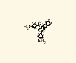 Cc1ccc(C(=O)O[C@@H]2C3CC(c4ccccc43)[C@@H]2OC(=O)c2ccc(C)cc2)cc1